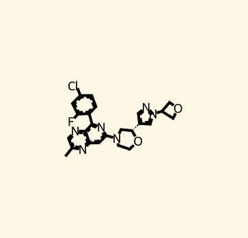 Cc1cnc2c(-c3ccc(Cl)cc3F)nc(N3CCO[C@@H](c4cnn(C5COC5)c4)C3)cc2n1